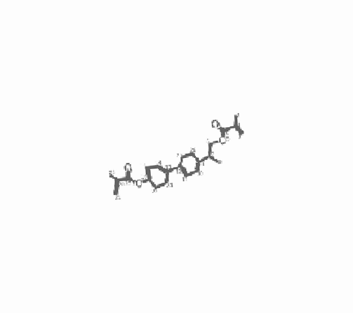 C=C(C)C(=O)OCC(C)C1=CC=C(C2=CC=C(OC(=O)C(=C)C)CC2)CC1